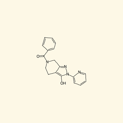 O=C(c1ccccc1)N1CCc2c(nn(-c3ccccn3)c2O)C1